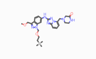 COCc1nn(COCC[Si](C)(C)C)c2cc(Nc3nc4cccc(CN5CCNC(=O)C5)n4n3)ccc12